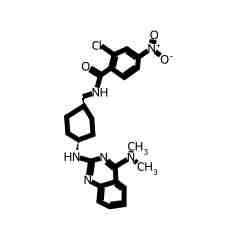 CN(C)c1nc(N[C@H]2CC[C@@H](CNC(=O)c3ccc([N+](=O)[O-])cc3Cl)CC2)nc2ccccc12